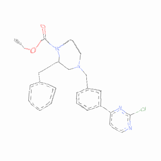 CC(C)(C)OC(=O)N1CCN(Cc2cccc(-c3ccnc(Cl)n3)c2)CC1Cc1ccccc1